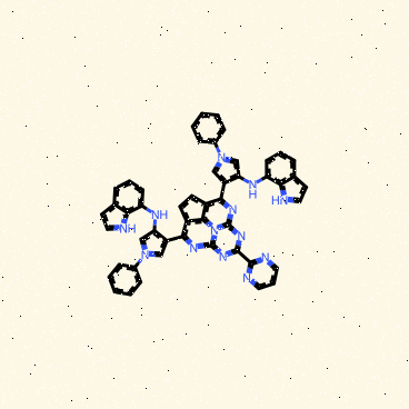 c1ccc(-n2cc(Nc3cccc4cc[nH]c34)c(-c3nc4nc(-c5ncccn5)nc5nc(-c6cn(-c7ccccc7)cc6Nc6cccc7cc[nH]c67)c6ccc3c6n45)c2)cc1